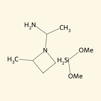 CC(N)N1CCC1C.CO[SiH2]OC